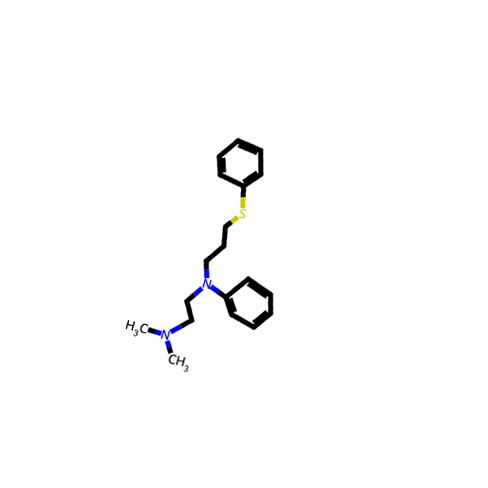 CN(C)CCN(CCCSc1ccccc1)c1ccccc1